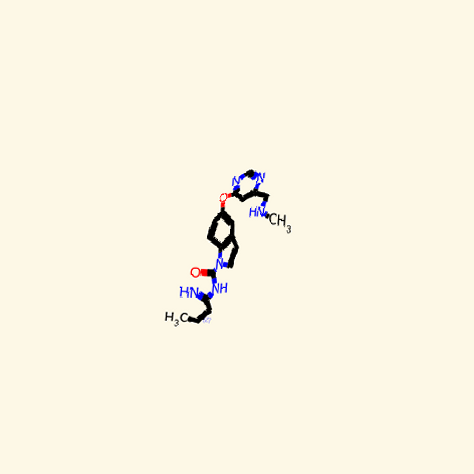 C/C=C\C(=N)NC(=O)n1ccc2cc(Oc3cc(CNC)ncn3)ccc21